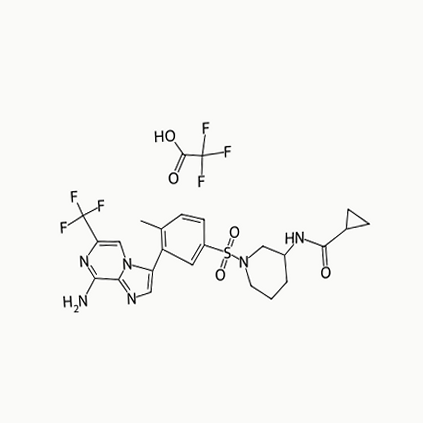 Cc1ccc(S(=O)(=O)N2CCCC(NC(=O)C3CC3)C2)cc1-c1cnc2c(N)nc(C(F)(F)F)cn12.O=C(O)C(F)(F)F